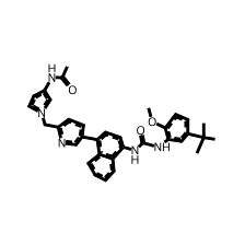 COc1ccc(C(C)(C)C)cc1NC(=O)Nc1ccc(-c2ccc(Cn3ccc(NC(C)=O)c3)nc2)c2ccccc12